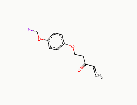 C=CC(=O)CCOc1ccc(OCI)cc1